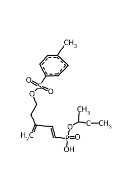 C=C(C=CP(=O)(O)OC(C)CC)CCOS(=O)(=O)c1ccc(C)cc1